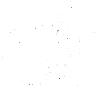 CCOC(=O)[C@H]1CCN([C@@H]2CCc3cc(-c4cccc(-c5cccc(NC(=O)c6cn(C)c(=O)n(C)c6=O)c5Cl)c4Cl)nc(OC)c32)C1